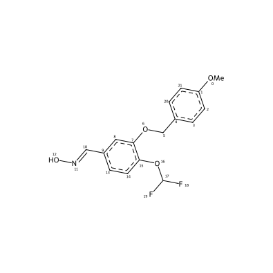 COc1ccc(COc2cc(/C=N/O)ccc2OC(F)F)cc1